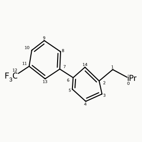 CC(C)Cc1cccc(-c2cccc(C(F)(F)F)c2)c1